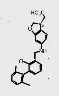 Cc1cccc(C)c1-c1cccc(CNc2ccc3c(c2)OC[C@H]3CC(=O)O)c1Cl